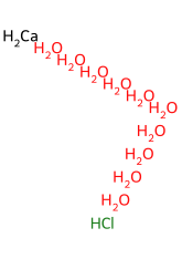 Cl.O.O.O.O.O.O.O.O.O.O.[CaH2]